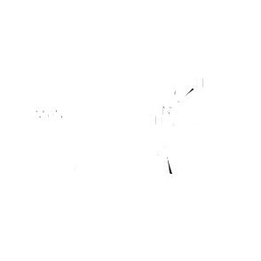 CNc1cc2c(cc1O)[C@@]13CCCC[C@@H]1[C@@H](C2)N(C)CC3